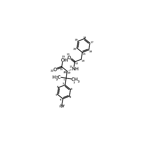 CC(C)(c1ccc(Br)cc1)[C@@H](NC(=O)Cc1ccccc1)C(=O)O